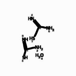 N=C(N)S.N=C(N)S.O